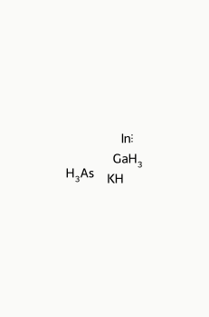 [AsH3].[GaH3].[In].[KH]